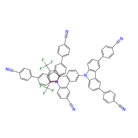 N#Cc1ccc(-c2ccc3c(c2)c2cc(-c4ccc(C#N)cc4)ccc2n3-c2ccc(-c3cc(C(F)(F)F)cc(C(F)(F)F)c3)c(-c3cc(C#N)ccc3-n3c4ccc(-c5ccc(C#N)cc5)cc4c4cc(-c5ccc(C#N)cc5)ccc43)c2)cc1